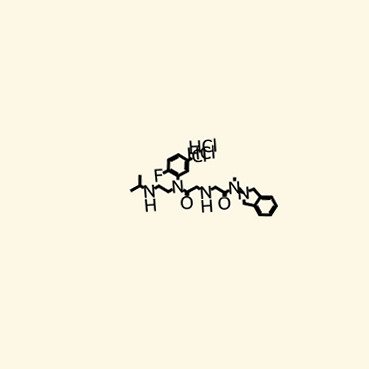 CC(C)NCCN(C(=O)CNCC(=O)N(C)N1Cc2ccccc2C1)c1cc(Cl)ccc1F.Cl.Cl